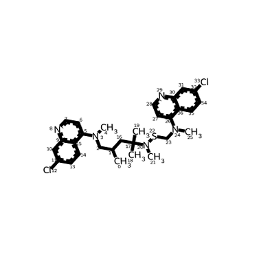 CC(CN(C)c1ccnc2cc(Cl)ccc12)CC(C)(C)N(C)SCN(C)c1ccnc2cc(Cl)ccc12